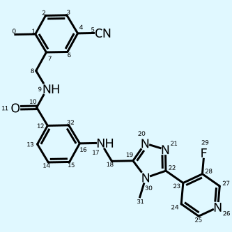 Cc1ccc(C#N)cc1CNC(=O)c1cccc(NCc2nnc(-c3ccncc3F)n2C)c1